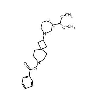 COC(OC)[C@H]1CN(C2CC3(CCN(OC(=O)c4ccccc4)CC3)C2)CCO1